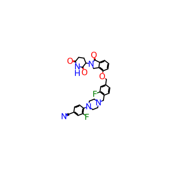 N#Cc1ccc(N2CCN(Cc3ccc(COc4cccc5c4CN(C4CCC(=O)NC4=O)C5=O)cc3F)CC2)c(F)c1